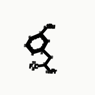 CCCC(Cc1cccc(C(C)(C)C)c1)C(F)(F)F